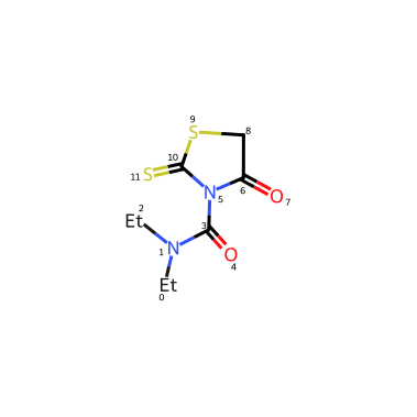 CCN(CC)C(=O)N1C(=O)CSC1=S